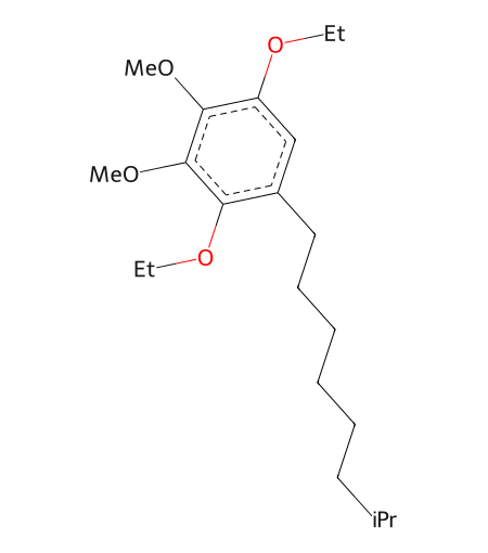 CCOc1cc(CCCCCCC(C)C)c(OCC)c(OC)c1OC